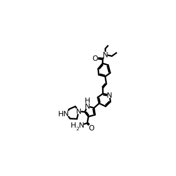 CCN(CC)C(=O)c1ccc(C=Cc2cc(-c3cc(C(N)=O)c(N4CCNCC4)[nH]3)ccn2)cc1